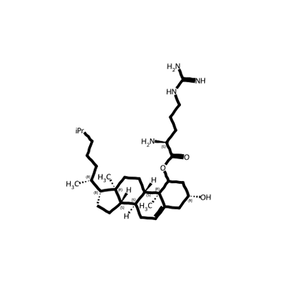 CC(C)CCC[C@@H](C)[C@H]1CC[C@H]2[C@@H]3CC=C4C[C@@H](O)CC(OC(=O)[C@@H](N)CCCNC(=N)N)[C@]4(C)[C@H]3CC[C@]12C